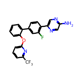 Nc1cnc(-c2ccc(-c3ccccc3Oc3cccc(C(F)(F)F)n3)cc2F)cn1